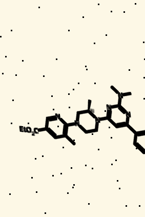 CCOC(=O)c1cnc(N2CCN(c3cc(-c4ccc(F)cc4)nc(N(C)C)n3)[C@H](C)C2)c(C)c1